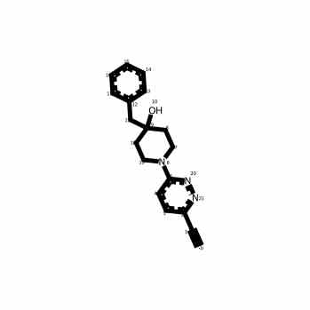 [C]#Cc1ccc(N2CCC(O)(Cc3ccccc3)CC2)nn1